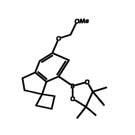 COCOc1cc2c(c(B3OC(C)(C)C(C)(C)O3)c1)C1(CCC1)CC2